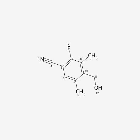 Cc1cc(C#N)c(F)c(C)c1CO